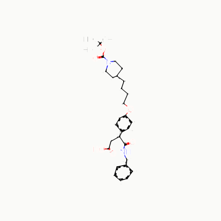 CC(C)(C)OC(=O)N1CCC(CCCCOc2ccc(C(CC(=O)O)C(=O)NCc3ccccc3)cc2)CC1